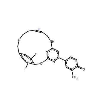 Cn1cc(-c2cc3nc(n2)Oc2c(F)cc(cc2F)COCC/C=C\CN3)ccc1=O